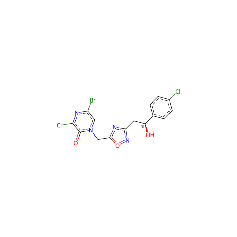 O=c1c(Cl)nc(Br)cn1Cc1nc(C[C@H](O)c2ccc(Cl)cc2)no1